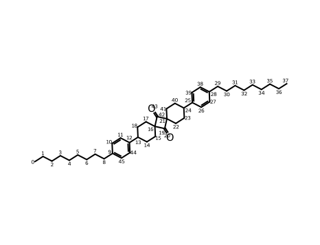 CCCCCCCCCc1ccc(C2CCC3(CC2)C(=O)C2(CCC(c4ccc(CCCCCCCCC)cc4)CC2)C3=O)cc1